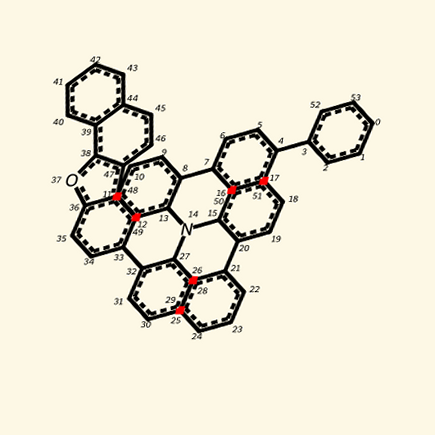 c1ccc(-c2ccc(-c3ccccc3N(c3ccccc3-c3ccccc3)c3ccccc3-c3ccc4oc5c6ccccc6ccc5c4c3)cc2)cc1